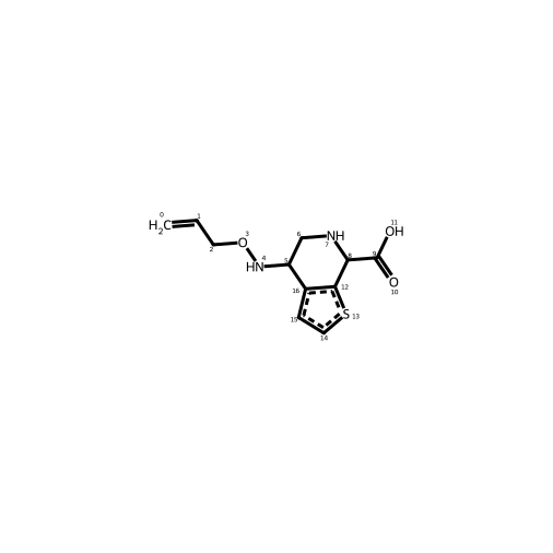 C=CCONC1CNC(C(=O)O)c2sccc21